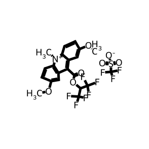 COc1ccc2c(c1)c(C(=O)OC(C(F)(F)F)C(F)(F)F)c1cc(OC)ccc1[n+]2C.O=S(=O)([O-])C(F)(F)F